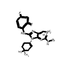 C=C(/N=C1\C(=C/N)N=C(Nc2ccc(F)cc2F)N1[C@H]1CC[C@@](C)(O)CC1)NC(C)C